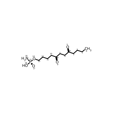 CCCCC(=O)CCC(=O)CCCCOP(N)(=O)O